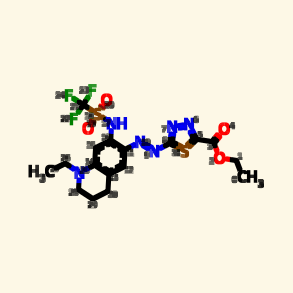 CCOC(=O)c1nnc(N=Nc2cc3c(cc2NS(=O)(=O)C(F)(F)F)N(CC)CCC3)s1